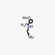 COc1cccc([C@@H](C)NC/C=C/C#CC(C)(C)C)c1